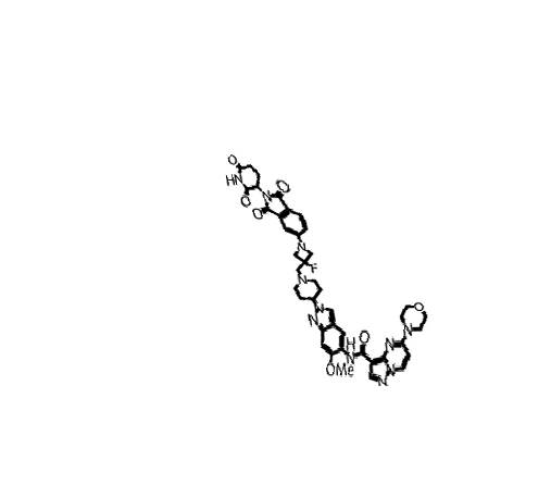 COc1cc2nn(C3CCN(CC4(F)CN(c5ccc6c(c5)C(=O)N(C5CCC(=O)NC5=O)C6=O)C4)CC3)cc2cc1NC(=O)c1cnn2ccc(N3CCOCC3)nc12